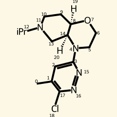 Cc1cc(N2CCO[C@@H]3CCN(C(C)C)C[C@@H]32)nnc1Cl